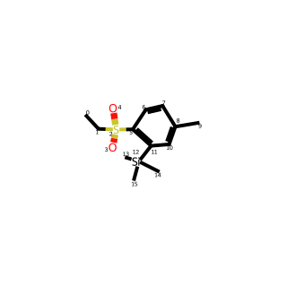 CCS(=O)(=O)c1ccc(C)cc1[Si](C)(C)C